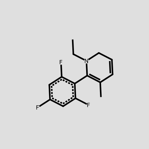 CCN1CC=CC(C)=C1c1c(F)cc(F)cc1F